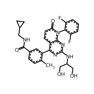 Cc1ccc(C(=O)NCC2CC2)cc1-c1nc(NC(CO)CO)nc2c1ccc(=O)n2-c1c(F)cccc1F